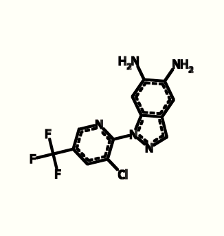 Nc1cc2cnn(-c3ncc(C(F)(F)F)cc3Cl)c2cc1N